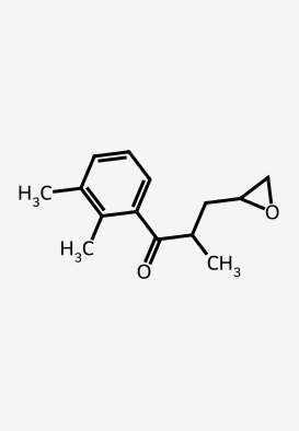 Cc1cccc(C(=O)C(C)CC2CO2)c1C